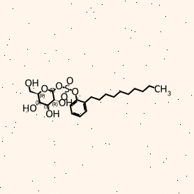 CCCCCCCCCCc1ccccc1OS(=O)(=O)O[C@@H]1O[C@H](CO)[C@@H](O)[C@H](O)[C@H]1O